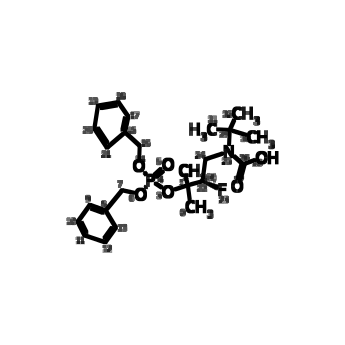 CC(C)(OP(=O)(OCc1ccccc1)OCc1ccccc1)[C@H](F)CN(C(=O)O)C(C)(C)C